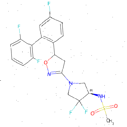 CS(=O)(=O)N[C@@H]1CN(C2=NOC(c3ccc(F)cc3-c3c(F)cccc3F)C2)CC1(F)F